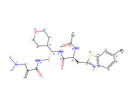 C=C(CN(C)C)C(=O)NC[C@@H](NC(=O)[C@H](Cc1nc2ccc(C(C)C)cc2s1)NC(=O)CC)C1CCOCC1